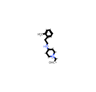 Cc1ccccc1CCNC1CCN(CC=O)CC1